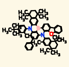 Cc1cc(C(C)(C)C)ccc1N1c2cc3c(cc2B2c4ccc5c(oc6ccccc65)c4N(c4cc5c(cc4C)C(C)(C)CCC5(C)C)c4cc(-c5ccccc5)cc1c42)C(C)(C)CCC3(C)C